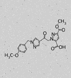 COC(=O)c1cc(C(=O)O)n(CC(=O)c2cnn(Cc3ccc(OC)cc3)c2)n1